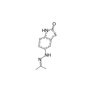 CC(C)=NNc1ccc2[nH]c(=O)sc2c1